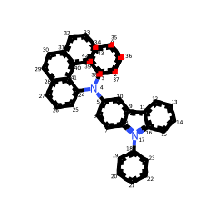 c1ccc(N(c2ccc3c(c2)c2ccccc2n3-c2ccccc2)c2cccc3ccc4ccc5ccccc5c4c23)cc1